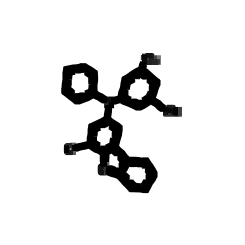 CC(C)(C)c1cc(N(c2ccccc2)c2cc(Cl)c3oc4ccccc4c3c2)cc(C(C)(C)C)c1